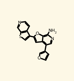 Nc1ncc(-c2ccoc2)c2cc(-c3csc4cnccc34)oc12